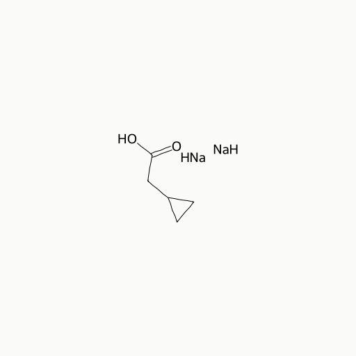 O=C(O)CC1CC1.[NaH].[NaH]